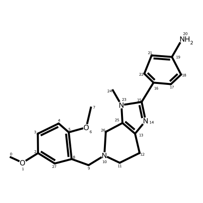 COc1ccc(OC)c(CN2CCc3nc(-c4ccc(N)cc4)n(C)c3C2)c1